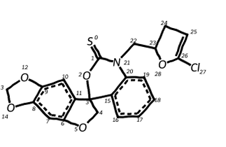 S=C1OC2(COc3cc4c(cc32)OCO4)c2ccccc2N1CC1CC=C(Cl)O1